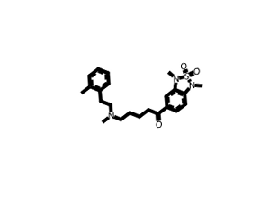 Cc1ccccc1CCN(C)CCCCC(=O)c1ccc2c(c1)N(C)S(=O)(=O)N2C